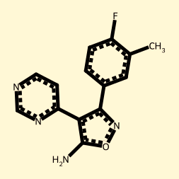 Cc1cc(-c2noc(N)c2-c2ccncn2)ccc1F